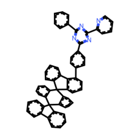 c1ccc(-c2nc(-c3ccc(-c4cccc5c4-c4ccccc4C54c5ccccc5C5(c6ccccc6-c6ccccc65)c5ccccc54)cc3)nc(-c3ccccn3)n2)cc1